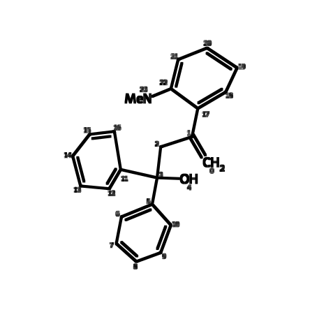 C=C(CC(O)(c1ccccc1)c1ccccc1)c1ccccc1NC